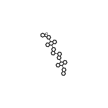 c1ccc2cc(-c3c4ccccc4c(-c4ccc5c(-c6cccc7cc(-c8c9ccccc9c(-c9ccc%10oc%11ccccc%11c%10c9)c9ccccc89)ccc67)cccc5c4)c4ccccc34)ccc2c1